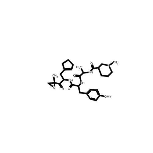 COc1ccc(CC(NC(=O)C(C)NC(=O)C2CCCN(C)C2)C(=O)NC(CC2=CCCC2)C(=O)C2(C)CO2)cc1